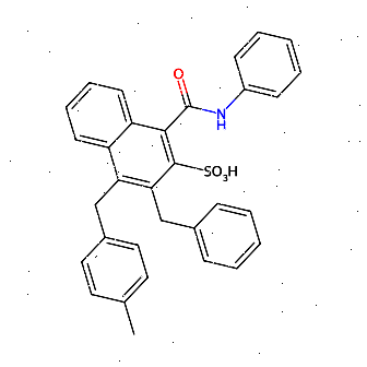 Cc1ccc(Cc2c(Cc3ccccc3)c(S(=O)(=O)O)c(C(=O)Nc3ccccc3)c3ccccc23)cc1